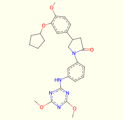 COc1nc(Nc2cccc(N3CC(c4ccc(OC)c(OC5CCCC5)c4)CC3=O)c2)nc(OC)n1